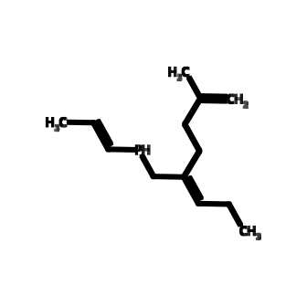 C=C(C)CC/C(=C\CC)CP/C=C/C